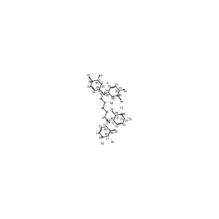 C[C@H]1[C@H](C)[C@@H](N(CCCCCN([C@H]2C=C[C@@H](C)[C@@H](C)[C@@H]2C)[C@H]2C=C[C@@H](C)[C@@H](C)[C@@H]2C)[C@H]2C=C[C@@H](C)[C@@H](C)[C@@H]2C)C=C[C@H]1C